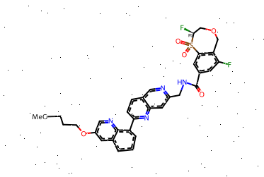 COCCCOc1cnc2c(-c3ccc4cnc(CNC(=O)c5cc(F)c6c(c5)S(=O)(=O)[C@@H](F)COC6)cc4n3)cccc2c1